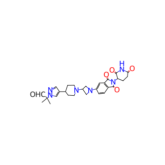 CC(C)(C=O)n1cc(C2CCN(C3CN(c4ccc5c(c4)C(=O)N(C4CCC(=O)NC4=O)C5=O)C3)CC2)cn1